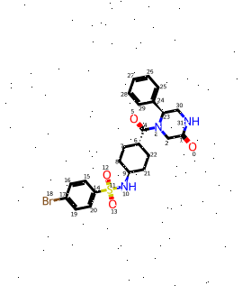 O=C1CN(C(=O)[C@H]2CC[C@H](NS(=O)(=O)c3ccc(Br)cc3)CC2)[C@@H](c2ccccc2)CN1